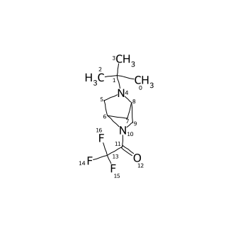 CC(C)(C)N1CC2CC1CN2C(=O)C(F)(F)F